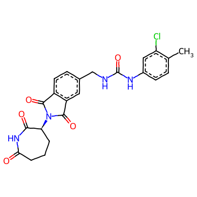 Cc1ccc(NC(=O)NCc2ccc3c(c2)C(=O)N([C@H]2CCCC(=O)NC2=O)C3=O)cc1Cl